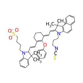 CC1(C)C(C=CC2=C(Oc3ccccc3)C(=CC=C3N(CCCN=C=S)c4ccc5ccccc5c4C3(C)C)CCC2)=[N+](CCCCS(=O)(=O)[O-])c2ccccc21